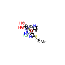 COCCSc1cnc(Nc2nc(C(O)CO)ns2)c(Oc2cccnc2C)c1.Cl